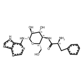 N[C@@H](Cc1ccccc1)C(=O)N[C@@H]1[C@@H](O)[C@H](O)[C@@H](Nc2ncnc3nc[nH]c23)O[C@H]1CO